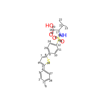 Cc1ccc(-c2ccc(-c3ccc(S(=O)(=O)NC(C(=O)O)C(C)C)cc3)s2)cc1